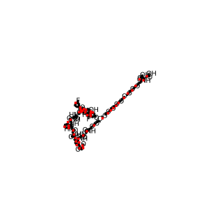 C[C@]12C=CC(=O)C=C1[C@@H](F)C[C@H]1[C@@H]3C[C@H]4O[C@@H](c5cccc(F)c5)O[C@@]4(C(=O)COCNC(=O)CNC(=O)[C@H](Cc4ccccc4)NC(=O)CNC(=O)CNC(=O)CCc4ccc(N5C(=O)C=CC5=O)cc4C(=O)NCC(=O)NCC(=O)NCCOCCOCCOCCOCCOCCOCCOCCOCCOCCOCCOCCOCCC(=O)N[C@@H](CCC(=O)O)C(=O)O)[C@@]3(C)C[C@H](O)[C@@]12F